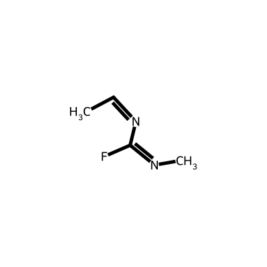 C/C=N\C(F)=N/C